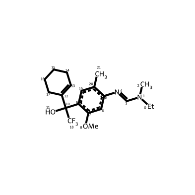 CCN(C)/C=N/c1cc(OC)c(C(O)(C2=CCCCC2)C(F)(F)F)cc1C